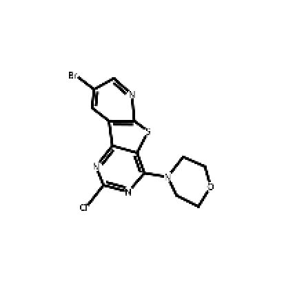 Clc1nc(N2CCOCC2)c2sc3ncc(Br)cc3c2n1